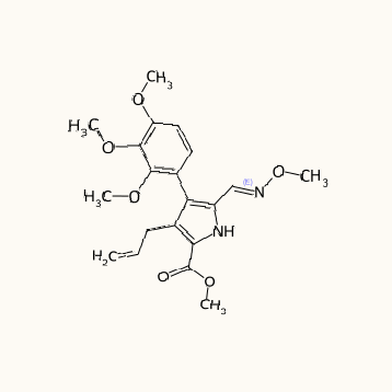 C=CCc1c(C(=O)OC)[nH]c(/C=N/OC)c1-c1ccc(OC)c(OC)c1OC